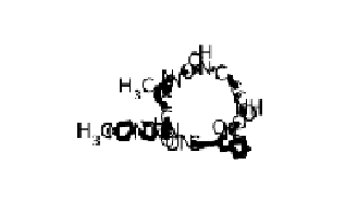 Cc1cc2cc3cn(nc13)COC(=O)NCC/C=C\CCNC(=O)OCn1c(=O)c(cc3ccccc31)C1CCN(CC1)C(=O)N[C@@H](C(=O)N1CCN(C3CCN(C)CC3)CC1)C2